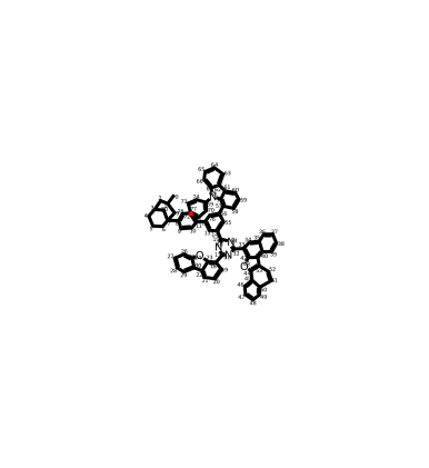 CC1CC2CCCC(c3ccc(-c4cc(-c5nc(-c6cccc7c6oc6ccccc67)nc(-c6cc7ccccc7c7c6oc6c8ccccc8ccc67)n5)cc(-c5cccc6c7ccccc7n(-c7ccccc7)c56)c4)cc3)(C1)C2